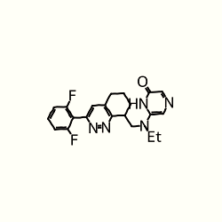 CCN(CC1CCCc2cc(-c3c(F)cccc3F)nnc21)c1cncc(=O)[nH]1